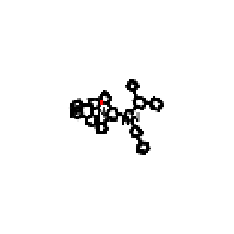 c1ccc(-c2ccc(-c3nc(-c4cc(-c5ccccc5)cc(-c5ccccc5)c4)cc(-c4cc(-c5ccccc5)c(-n5c6cccc(-c7ccccc7)c6c6c(-c7ccccc7)cccc65)c(-c5ccccc5)c4)n3)cc2)cc1